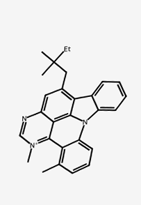 CCC(C)(C)Cc1cc2nc[n+](C)c3c4c(C)cccc4n4c5ccccc5c1c4c23